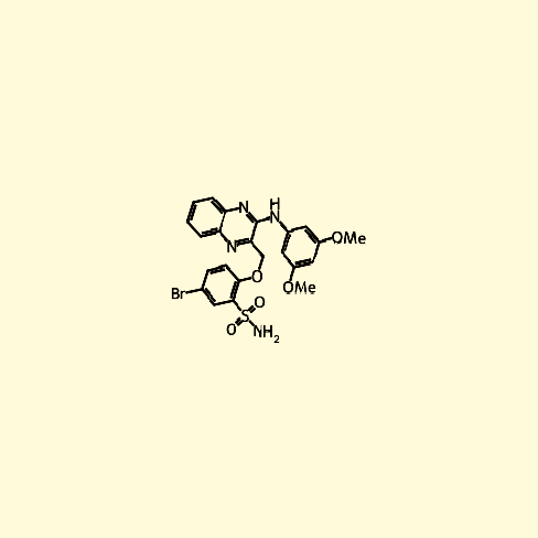 COc1cc(Nc2nc3ccccc3nc2COc2ccc(Br)cc2S(N)(=O)=O)cc(OC)c1